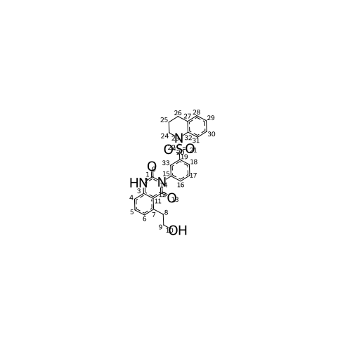 O=c1[nH]c2cccc(CCO)c2c(=O)n1-c1cccc(S(=O)(=O)N2CCCc3ccccc32)c1